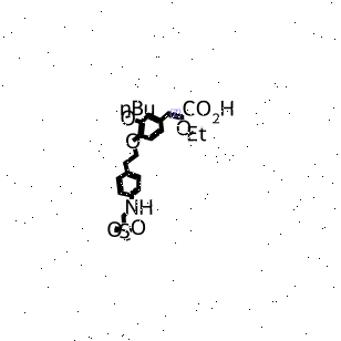 CCCCOc1cc(/C=C(\OCC)C(=O)O)ccc1OCCc1ccc(NCS(C)(=O)=O)cc1